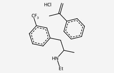 C=C(C)c1ccccc1.CCNC(C)Cc1cccc(C(F)(F)F)c1.Cl